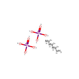 O=P([O-])([O-])[O-].O=P([O-])([O-])[O-].[Mg+2].[Mg+2].[Mg+2].[SrH2]